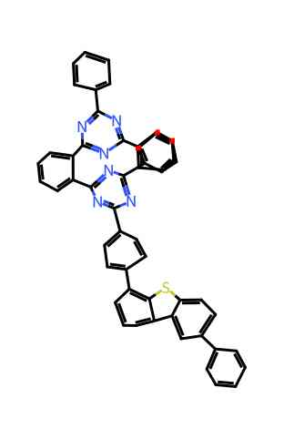 c1ccc(-c2ccc3sc4c(-c5ccc(-c6nc(-c7ccccc7)nc(-c7ccccc7-c7nc(-c8ccccc8)nc(-c8ccccc8)n7)n6)cc5)cccc4c3c2)cc1